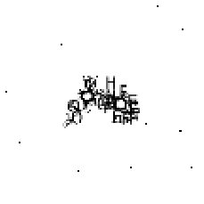 CCOC(=O)Cc1ccc(OC)c(CC(=O)Nc2c(F)c(F)c(C(F)(F)F)c(F)c2F)c1